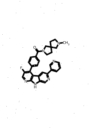 CN1CCC2(CCN(C(=O)c3ccc(-c4c(F)cnc5[nH]c6cnc(-c7cccnc7)cc6c45)cc3)C2)C1